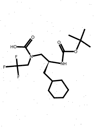 CC(C)(C)OC(=O)N[C@@H](CC1CCCCC1)CN(CC(F)(F)F)C(=O)O